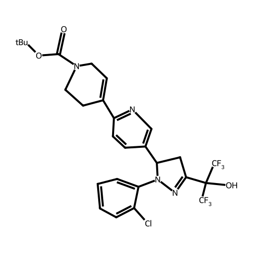 CC(C)(C)OC(=O)N1CC=C(c2ccc(C3CC(C(O)(C(F)(F)F)C(F)(F)F)=NN3c3ccccc3Cl)cn2)CC1